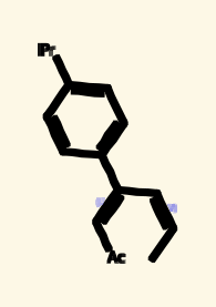 C/C=C\C(=C/C(C)=O)c1ccc(C(C)C)cc1